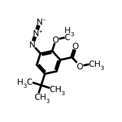 COC(=O)c1cc(C(C)(C)C)cc(N=[N+]=[N-])c1OC